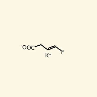 O=C([O-])CC=CF.[K+]